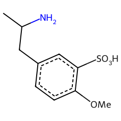 COc1ccc(CC(C)N)cc1S(=O)(=O)O